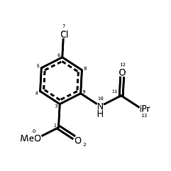 COC(=O)c1ccc(Cl)cc1NC(=O)C(C)C